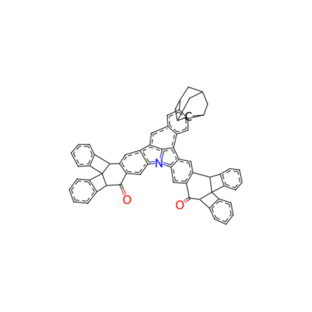 O=C1c2cc3c(cc2C2c4ccccc4C24c2ccccc2C14)c1cc2cc4c(cc2c2c5cc6c(cc5n3c12)C(=O)C1c2ccccc2C12c1ccccc1C62)C1CC2CC(CC4C2)C1